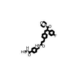 O=C(/C=C/c1ccc(/C=C(/C(=O)N2CCOCC2)c2ccc(F)cc2)cc1)NCc1ccc(C(=O)NO)cc1